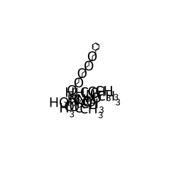 C[C@@H](C(=O)NC(C(=O)N1C[C@@H](OCCOCCOCCOCCOCc2ccccc2)C[C@H]1C(=O)O)C(C)(C)C)N(C)C(=O)OC(C)(C)C